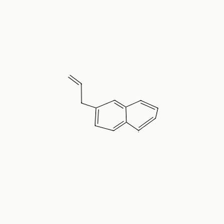 C=CCc1ccc2[c]cccc2c1